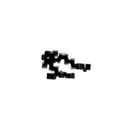 CCCCCC(O)/C=C/C1C(C/C=C\CCCC(=O)O)[C@@H]2C[C@H]1OO2